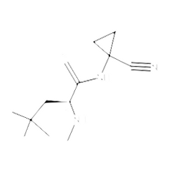 CN[C@@H](CC(C)(C)F)C(=O)NC1(C#N)CC1